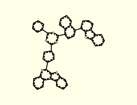 c1ccc(-c2nc(-c3ccc(-c4nc5ccccc5c5c4sc4ccccc45)cc3)nc(-c3ccc(-c4cccc5c4oc4ccccc45)c4ccccc34)n2)cc1